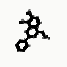 NC[C@H]1O[C@@H](c2ccccc2)Cc2c1ccc(O)c2O